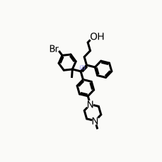 CN1CCN(c2ccc(/C(=C(/CCCO)c3ccccc3)C3(C)C=CC(Br)=CC3)cc2)CC1